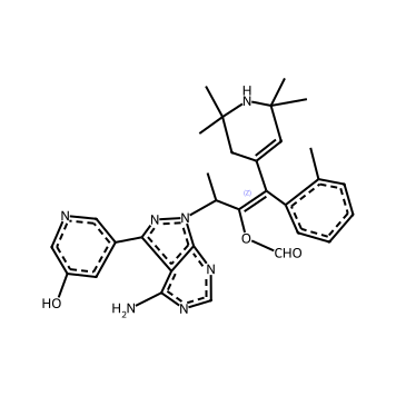 Cc1ccccc1/C(C1=CC(C)(C)NC(C)(C)C1)=C(\OC=O)C(C)n1nc(-c2cncc(O)c2)c2c(N)ncnc21